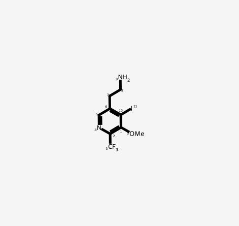 COc1c(C(F)(F)F)ncc(CCN)c1I